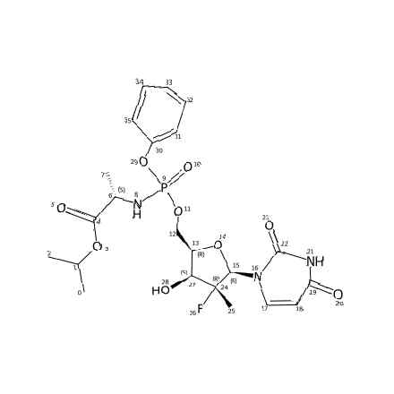 CC(C)OC(=O)[C@H](C)NP(=O)(OC[C@H]1O[C@@H](n2ccc(=O)[nH]c2=O)[C@](C)(F)[C@H]1O)Oc1ccccc1